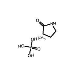 N.O=C1CCCN1.O=P(O)(O)O